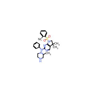 CC1CNCCN1N(c1ccccc1)c1ncc2c(n1)N(S(=O)(=O)c1ccccc1C#N)CC2(C)C